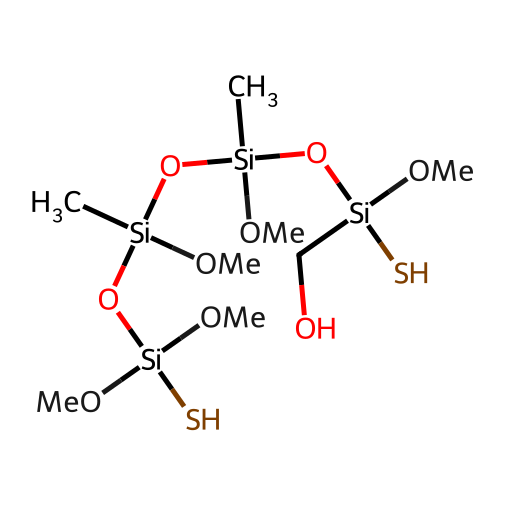 CO[Si](S)(CO)O[Si](C)(OC)O[Si](C)(OC)O[Si](S)(OC)OC